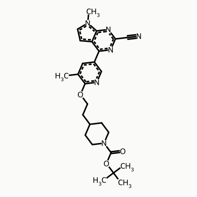 Cc1cc(-c2nc(C#N)nc3c2ccn3C)cnc1OCCC1CCN(C(=O)OC(C)(C)C)CC1